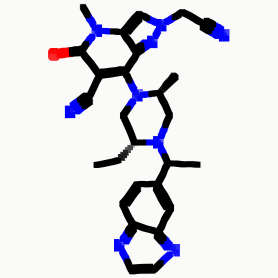 CC[C@@H]1CN(c2c(C#N)c(=O)n(C)c3cn(CC#N)nc23)[C@@H](C)CN1C(C)c1ccc2nccnc2c1